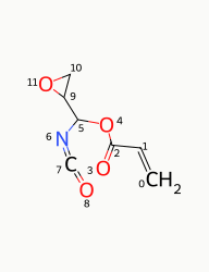 C=CC(=O)OC(N=C=O)C1CO1